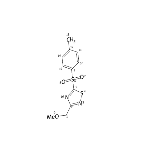 COCc1nsc(S(=O)(=O)c2ccc(C)cc2)n1